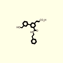 O=C(O)/C=C/c1cc(C(=O)NCCc2ccccc2)cc(-c2cccc(CO)c2)c1